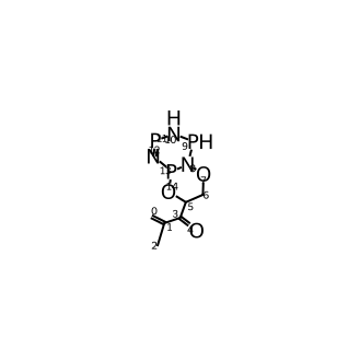 C=C(C)C(=O)C1COn2[pH][nH]pnp2O1